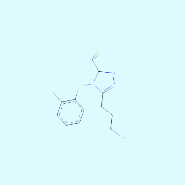 CCCCCCCCCCCCCC1=NNC(C=S)N1Sc1ccccc1C